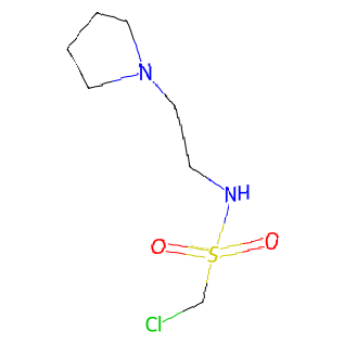 O=S(=O)(CCl)NCCN1CCCC1